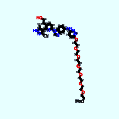 COCCOCCOCCOCCOCCOCCOCCOc1ccc(Nc2ccc3c(c2)ncn3-c2ccc(CCO)c(-c3c(C#N)n[nH]c3C)n2)nn1